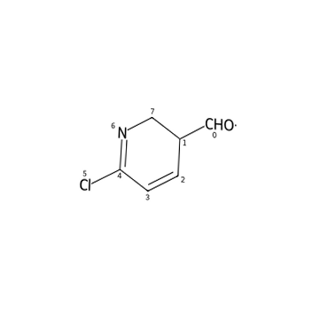 O=[C]C1C=CC(Cl)=NC1